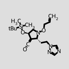 C=CCON1C[C@H](O[Si](C)(C)C(C)(C)C)C(=C=O)[C@H]1CCn1cncn1